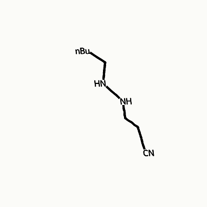 CCCCCNNCCC#N